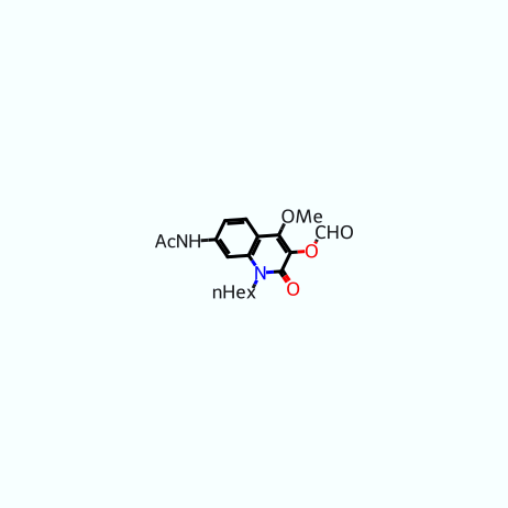 CCCCCCn1c(=O)c(OC=O)c(OC)c2ccc(NC(C)=O)cc21